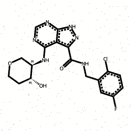 O=C(NCc1cc(F)ccc1Cl)c1n[nH]c2ncnc(N[C@@H]3COCC[C@H]3O)c12